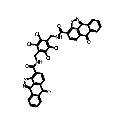 O=C(NCc1c(Cl)c(Cl)c(CNC(=O)c2ccc3c4c(nsc24)-c2ccccc2C3=O)c(Cl)c1Cl)c1ccc2c3c(nsc13)-c1ccccc1C2=O